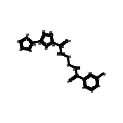 Cc1cccc(C(=O)NCCNC(=O)c2nc(-c3cccs3)no2)c1